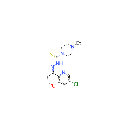 CCN1CCN(C(=S)N/N=C2/CCOc3cc(Cl)cnc32)CC1